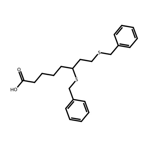 O=C(O)CCCCC(CCSCc1ccccc1)SCc1ccccc1